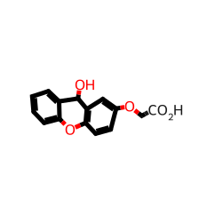 O=C(O)COc1ccc2c(c1)C(O)c1ccccc1O2